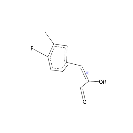 Cc1cc(/C=C(/O)C=O)ccc1F